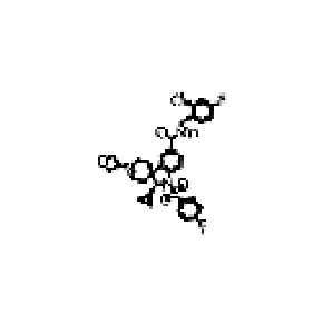 O=C(NCc1ccc(F)cc1Cl)c1ccc2c(c1)C1(CCN(C3COC3)CC1)C(C1CC1)N2S(=O)(=O)c1ccc(F)cc1